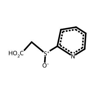 O=C(O)C[S+]([O-])c1ccccn1